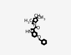 CC1(C)CC2N(C(=O)c3c[nH]c4ccc(OCc5ccccc5)cc34)CC2(C)C1